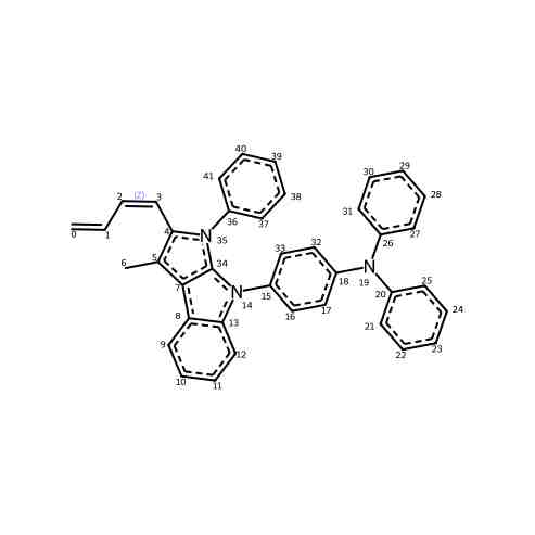 C=C/C=C\c1c(C)c2c3ccccc3n(-c3ccc(N(c4ccccc4)c4ccccc4)cc3)c2n1-c1ccccc1